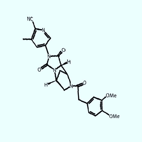 COc1ccc(CC(=O)N2C[C@H]3CC2[C@H]2C(=O)N(c4cnc(C#N)c(C)c4)C(=O)N32)cc1OC